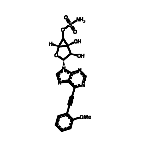 COc1ccccc1C#Cc1ncnc2c1ncn2[C@@H]1O[C@@H]2C(OS(N)(=O)=O)[C@]2(O)[C@H]1O